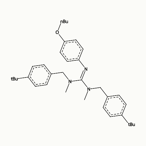 CCCCOc1ccc(N=C(N(C)Cc2ccc(C(C)(C)C)cc2)N(C)Cc2ccc(C(C)(C)C)cc2)cc1